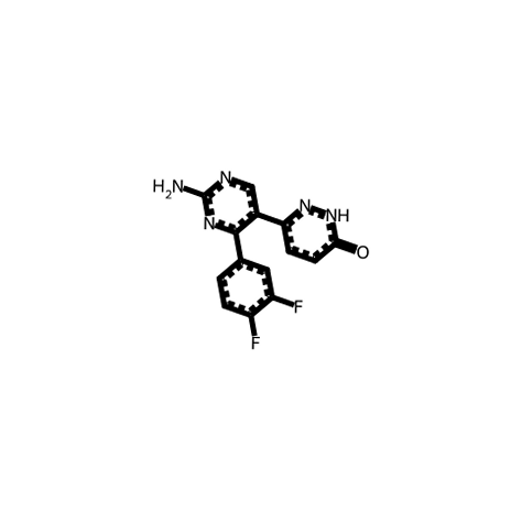 Nc1ncc(-c2ccc(=O)[nH]n2)c(-c2ccc(F)c(F)c2)n1